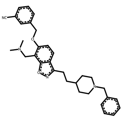 CN(C)Cc1c(OCc2cccc(C#N)c2)ccc2c(CCC3CCN(Cc4ccccc4)CC3)noc12